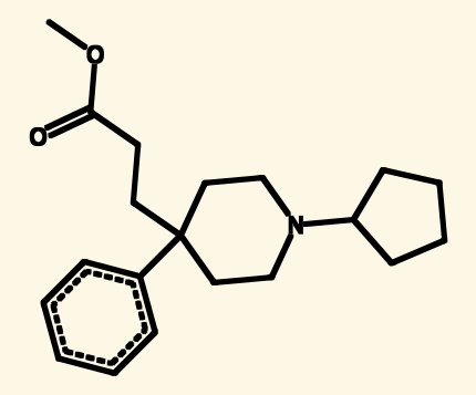 COC(=O)CCC1(c2ccccc2)CCN(C2CCCC2)CC1